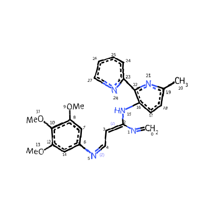 C=N/C(=C\C=N/c1cc(OC)c(OC)c(OC)c1)Nc1ccc(C)nc1-c1ccccn1